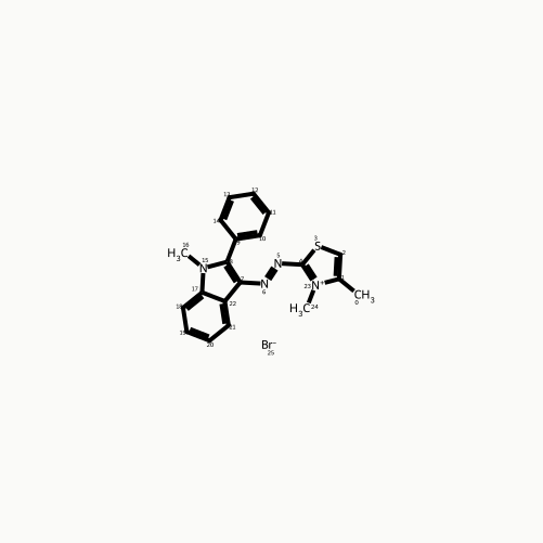 Cc1csc(N=Nc2c(-c3ccccc3)n(C)c3ccccc23)[n+]1C.[Br-]